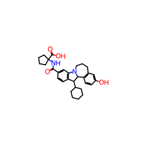 O=C(NC1(C(=O)O)CCCC1)c1ccc2c(c1)N1CCCc3cc(O)ccc3C1C2C1CCCCC1